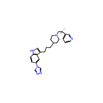 C[C@@H](CN1CCC(CCCc2c[nH]c3ccc(-n4cnnc4)cc23)CC1)c1cccnc1